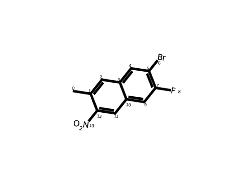 Cc1cc2cc(Br)c(F)cc2cc1[N+](=O)[O-]